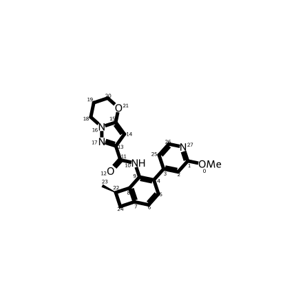 COc1cc(-c2ccc3c(c2NC(=O)c2cc4n(n2)CCCO4)[C@H](C)C3)ccn1